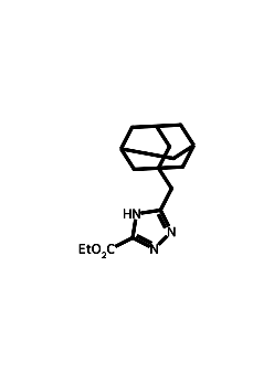 CCOC(=O)c1nnc(CC23CC4CC(CC(C4)C2)C3)[nH]1